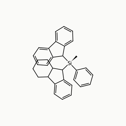 C[Si@](c1ccccc1)(C1c2ccccc2-c2ccccc21)C1c2ccccc2C2CCCCC21